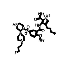 CCCOc1ccc(S(=O)(=O)N2CCNCC2N2CCN(CCCF)CC2)cc1C(=O)Nc1c(CCCF)cn(CC)c1C(N)=O